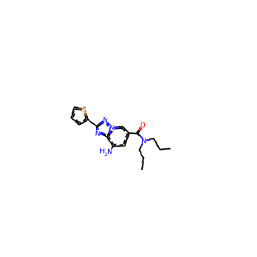 CCCN(CCC)C(=O)c1cc(N)c2nc(-c3cccs3)nn2c1